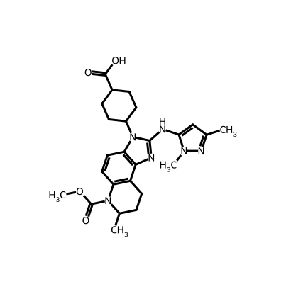 COC(=O)N1c2ccc3c(nc(Nc4cc(C)nn4C)n3C3CCC(C(=O)O)CC3)c2CCC1C